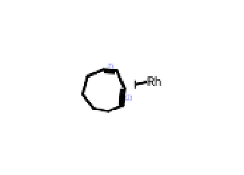 C1=C\CCCC\C=C/1.[Rh][I]